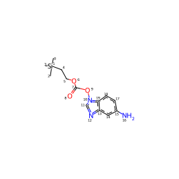 C[Si](C)(C)CCOC(=O)On1cnc2cc(N)ccc21